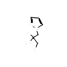 OC(CF)(Cn1cccn1)C(F)(F)F